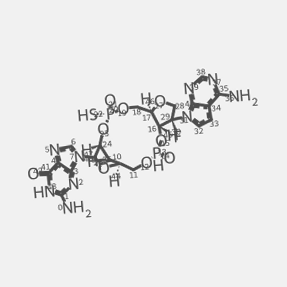 Nc1nc2c(ncn2C2O[C@@H]3CO[PH](=O)O[C@@H]4[C@@H](CO[P@@](=O)(S)O[C@@H]2[C@H]3F)OC[C@]4(F)n2ccc3c(N)ncnc32)c(=O)[nH]1